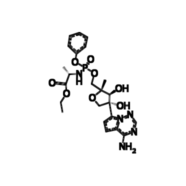 CCOC(=O)[C@H](C)N[P@](=O)(OC[C@@]1(C)OC[C@](O)(c2ccc3c(N)ncnn23)[C@@H]1O)Oc1ccccc1